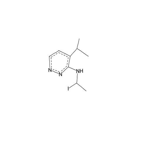 CC(I)Nc1nnccc1C(C)C